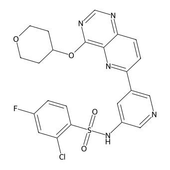 O=S(=O)(Nc1cncc(-c2ccc3ncnc(OC4CCOCC4)c3n2)c1)c1ccc(F)cc1Cl